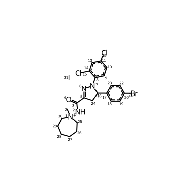 C[N+]1(NC(=O)C2=NN(c3ccc(Cl)cc3Cl)C(c3ccc(Br)cc3)C2)CCCCCC1.[I-]